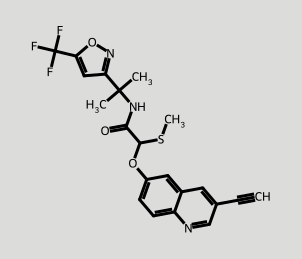 C#Cc1cnc2ccc(OC(SC)C(=O)NC(C)(C)c3cc(C(F)(F)F)on3)cc2c1